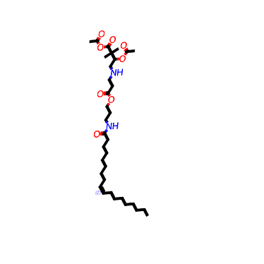 CCCCCCCC/C=C\CCCCCCCC(=O)NCCCOC(=O)CCNCC(OC(C)=O)C(C)(C)C(=O)OC(C)=O